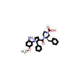 COc1ccc(N)c(-n2ccc(C(=O)N3CCN(C(=O)O)C[C@H]3Cc3ccccc3)c2-c2ccccc2)c1